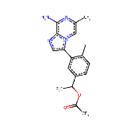 Cc1ccc(C(OC(=O)C(F)(F)F)C(F)(F)F)cc1-c1cnc2c(N)nc(C(F)(F)F)cn12